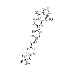 CCC(F)(CC)CN1CCC(COc2ccc(-c3ccc(C(=O)N4CCC[C@H]4C=O)cc3)nc2)CC1